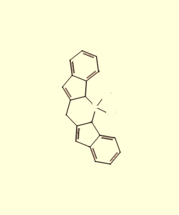 CC(=O)[O][Ti]1([O]C(C)=O)[CH]2C(=Cc3ccccc32)CC2=Cc3ccccc3[CH]21